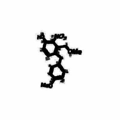 COCc1c(Cc2ccc(OC)cc2)ccc(O)c1[N+](=O)[O-]